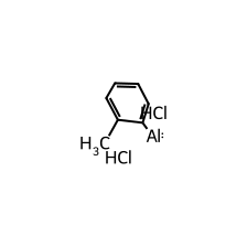 Cc1cccc[c]1[Al].Cl.Cl